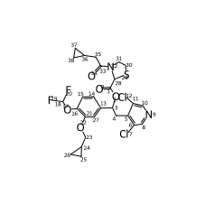 O=C(OC(Cc1c(Cl)cncc1Cl)c1ccc(OC(F)F)c(OCC2CC2)c1)C1SCCN1C(=O)CC1CC1